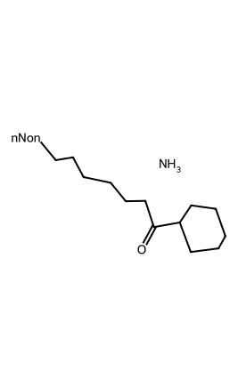 CCCCCCCCCCCCCCCC(=O)C1CCCCC1.N